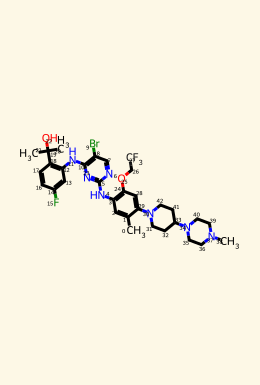 Cc1cc(Nc2ncc(Br)c(Nc3cc(F)ccc3C(C)(C)O)n2)c(OCC(F)(F)F)cc1N1CCC(N2CCN(C)CC2)CC1